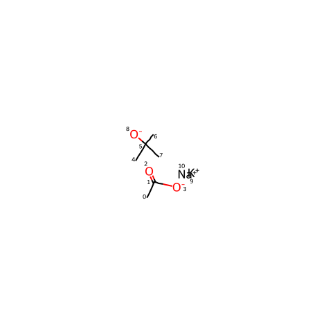 CC(=O)[O-].CC(C)(C)[O-].[K+].[Na+]